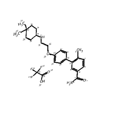 Cc1ccc(C(N)=O)cc1-c1ccc(OCCNC2CCC(C)(C)CC2)cc1.O=C(O)C(F)(F)F